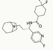 O=C(N[C@@H](CCN1C2CCCC1CC2)c1ccc(F)nc1)C1CCC(F)(F)CC1